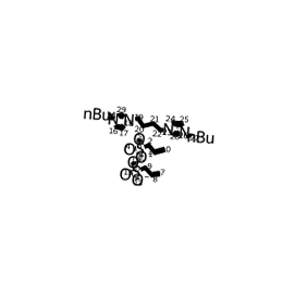 C=CCS(=O)(=O)[O-].C=CCS(=O)(=O)[O-].CCCCn1cc[n+](CCCC[n+]2ccn(CCCC)c2)c1